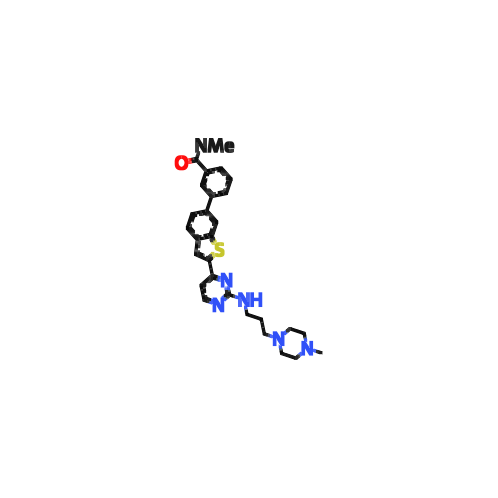 CNC(=O)c1cccc(-c2ccc3cc(-c4ccnc(NCCCN5CCN(C)CC5)n4)sc3c2)c1